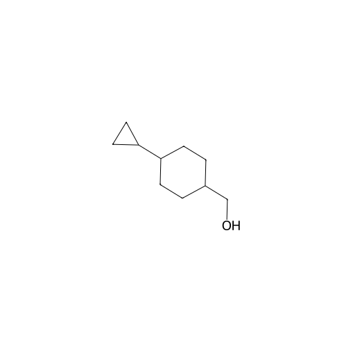 OCC1CCC(C2CC2)CC1